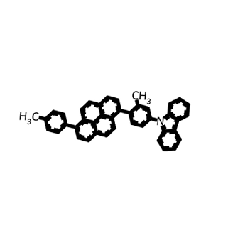 Cc1ccc(-c2ccc3ccc4c(-c5ccc(-n6c7ccccc7c7ccccc76)cc5C)ccc5ccc2c3c54)cc1